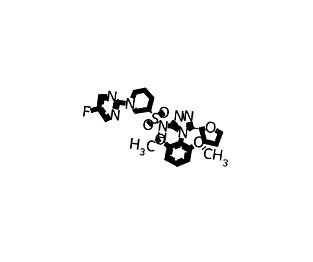 COc1cccc(OC)c1-n1c(NS(=O)(=O)[C@H]2CCCN(c3ncc(F)cn3)C2)nnc1[C@H]1CCCO1